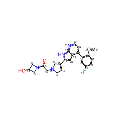 COc1ccc(F)cc1-c1ccnc2[nH]c(C3=CCN(CC(=O)N4CC(O)C4)C3)cc12